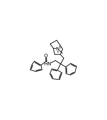 C[N+]1(C)C2CCC1CC(CC(CNC(=O)c1ccccc1)(c1ccccc1)c1ccccc1)C2